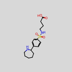 O=C(O)CCCNS(=O)(=O)c1ccc(C2CCCCCN2)cc1